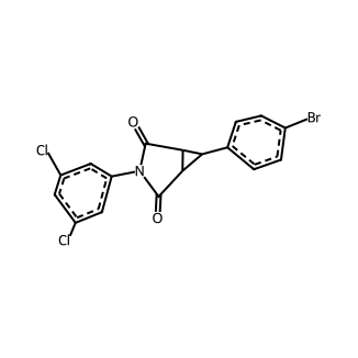 O=C1C2C(C(=O)N1c1cc(Cl)cc(Cl)c1)C2c1ccc(Br)cc1